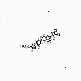 CCO[C@H]1CN(c2ccn(-c3nc(C)c(C(=O)O)s3)c(=O)c2)CCC1NC(=O)c1nc(Cl)c(CC)[nH]1